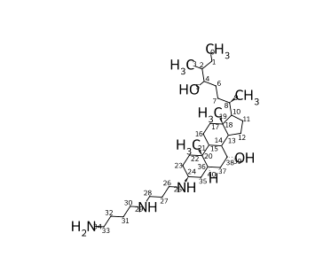 CCC(C)C(O)CC[C@@H](C)C1CCC2C3C(CC[C@@]21C)[C@@]1(C)CC[C@H](NCCCNCCCCN)C[C@@H]1C[C@H]3O